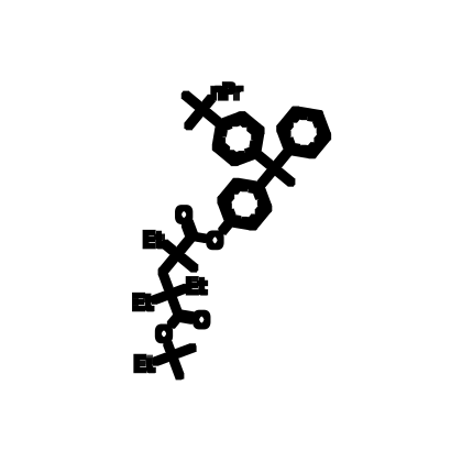 CCCC(C)(C)c1ccc(C(C)(c2ccccc2)c2ccc(OC(=O)C(C)(CC)CC(CC)(CC)C(=O)OC(C)(C)CC)cc2)cc1